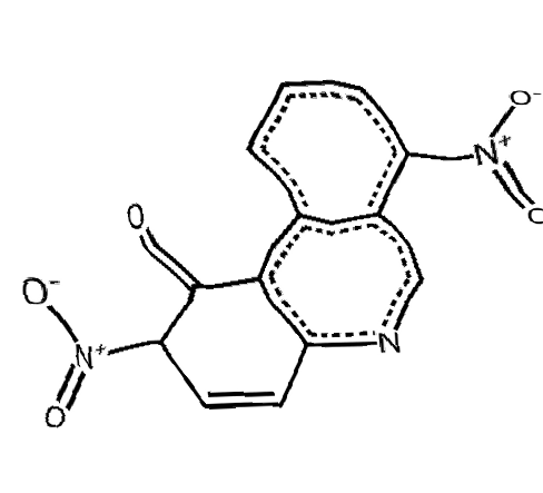 O=C1c2c(ncc3c([N+](=O)[O-])cccc23)C=CC1[N+](=O)[O-]